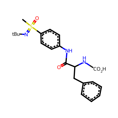 CC(C)(C)N=S(C)(=O)c1ccc(NC(=O)C(Cc2ccccc2)NC(=O)O)cc1